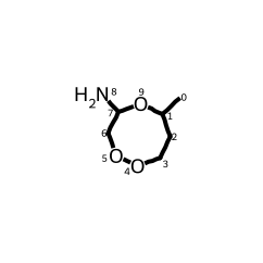 CC1CCOOCC(N)O1